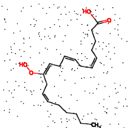 CCCCC/C=C\C/C(=C\C/C=C\C/C=C\CCCC(=O)O)OO